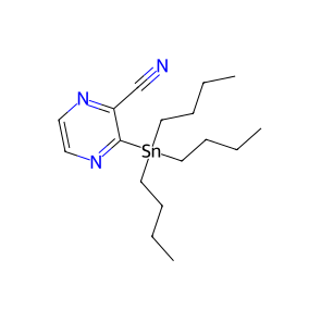 CCC[CH2][Sn]([CH2]CCC)([CH2]CCC)[c]1nccnc1C#N